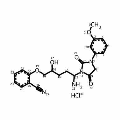 COc1cccc(N2CC(=O)N(C(N)CCC(O)COc3ccccc3C#N)C2=O)c1.Cl